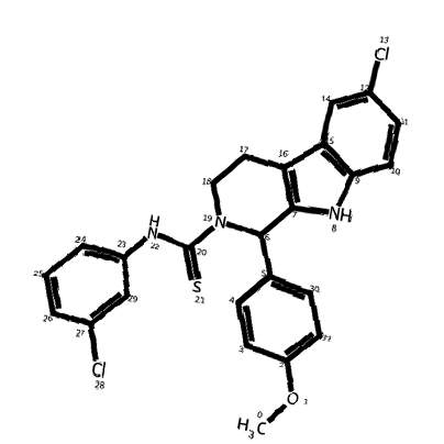 COc1ccc(C2c3[nH]c4ccc(Cl)cc4c3CCN2C(=S)Nc2cccc(Cl)c2)cc1